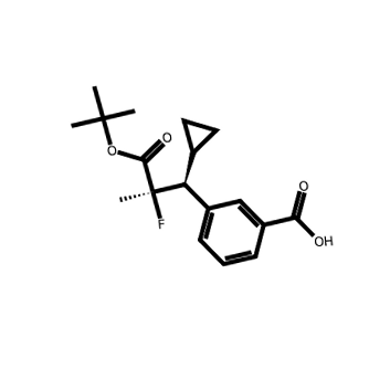 CC(C)(C)OC(=O)[C@](C)(F)[C@H](c1cccc(C(=O)O)c1)C1CC1